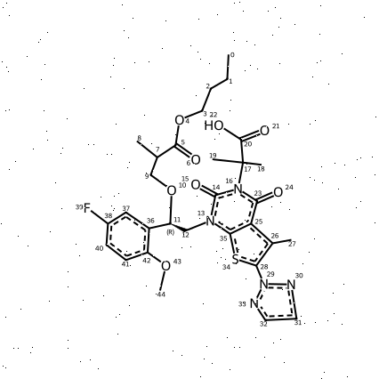 CCCCOC(=O)C(C)CO[C@@H](Cn1c(=O)n(C(C)(C)C(=O)O)c(=O)c2c(C)c(-n3nccn3)sc21)c1cc(F)ccc1OC